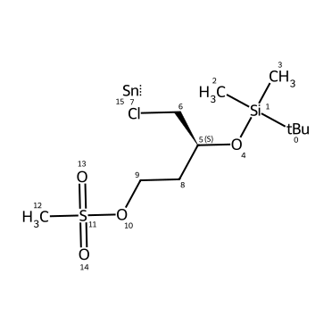 CC(C)(C)[Si](C)(C)O[C@H](CCl)CCOS(C)(=O)=O.[Sn]